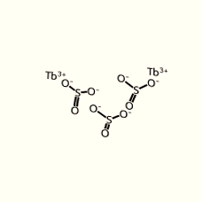 O=S([O-])[O-].O=S([O-])[O-].O=S([O-])[O-].[Tb+3].[Tb+3]